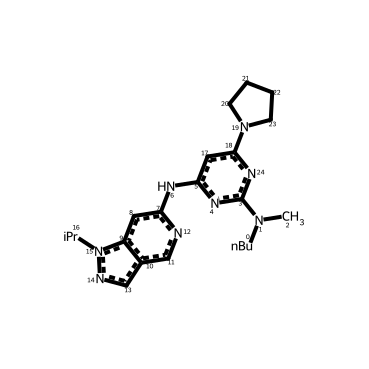 CCCCN(C)c1nc(Nc2cc3c(cn2)cnn3C(C)C)cc(N2CCCC2)n1